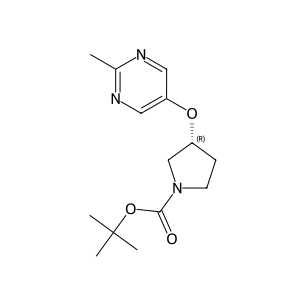 Cc1ncc(O[C@@H]2CCN(C(=O)OC(C)(C)C)C2)cn1